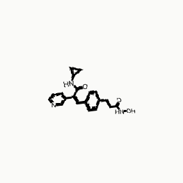 O=C(C=Cc1ccc(C=C(C(=O)NC2CC2)c2cccnc2)cc1)NO